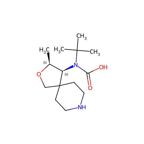 C[C@@H]1OCC2(CCNCC2)[C@@H]1N(C(=O)O)C(C)(C)C